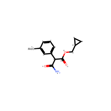 COc1cccc(C(C(N)=O)C(=O)OCC2CC2)c1